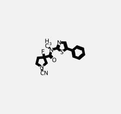 CN(C(=O)C1(F)CCN(C#N)C1)c1ncc(-c2ccccc2)s1